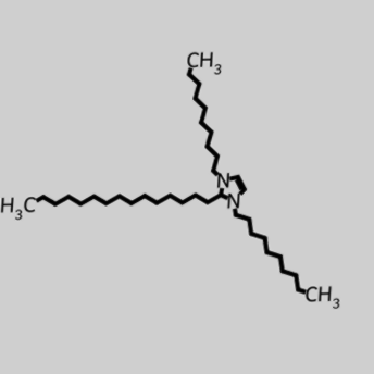 CCCCCCCCCCCCCCCC1N(CCCCCCCCCC)C=CN1CCCCCCCCCC